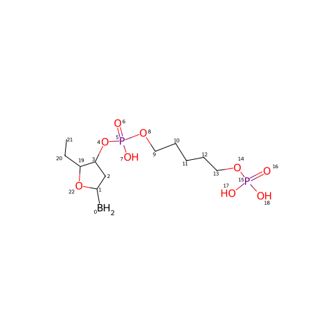 BC1CC(OP(=O)(O)OCCCCCOP(=O)(O)O)C(CC)O1